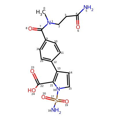 CN(CCC(N)=O)C(=O)c1ccc(-c2ccn(S(N)(=O)=O)c2C(=O)O)cc1